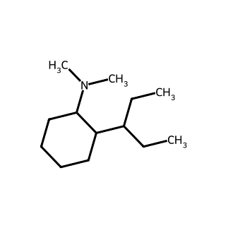 CCC(CC)C1CCCCC1N(C)C